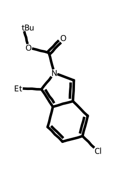 CCc1c2ccc(Cl)cc2cn1C(=O)OC(C)(C)C